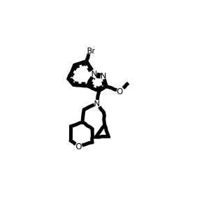 COc1nn2c(Br)cccc2c1N(CC1CCOCC1)CC1CC1